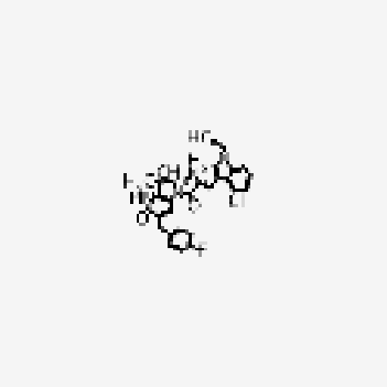 C#CCn1cc(C[C@H](N)C(=O)N2CC(C)(C)c3[nH]c(=O)c(Cc4ccc(F)cc4)cc32)c2c(Cl)cccc21